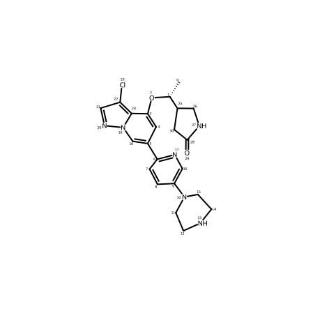 C[C@@H](Oc1cc(-c2ccc(N3CCNCC3)cn2)cn2ncc(Cl)c12)C1CNC(=O)C1